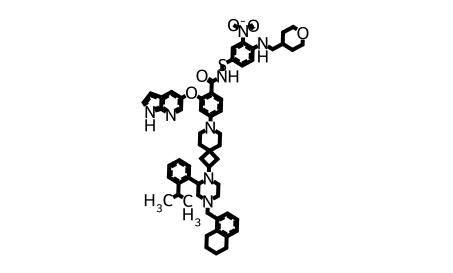 CC(C)c1ccccc1C1CN(Cc2cccc3c2CCCC3)CCN1C1CC2(CCN(c3ccc(C(=O)NSc4ccc(NCC5CCOCC5)c([N+](=O)[O-])c4)c(Oc4cnc5[nH]ccc5c4)c3)CC2)C1